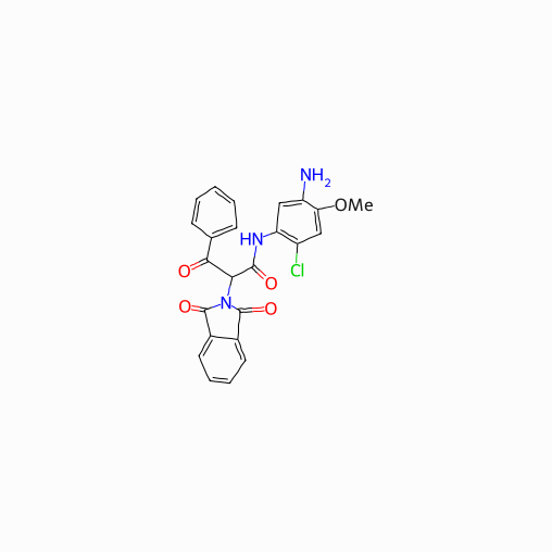 COc1cc(Cl)c(NC(=O)C(C(=O)c2ccccc2)N2C(=O)c3ccccc3C2=O)cc1N